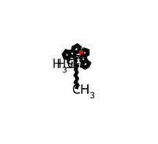 CCCCCCCC[SiH](C)[Zr]([CH]1c2ccccc2-c2ccccc21)[CH]1c2ccccc2-c2ccccc21